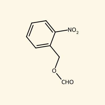 O=COCc1ccccc1[N+](=O)[O-]